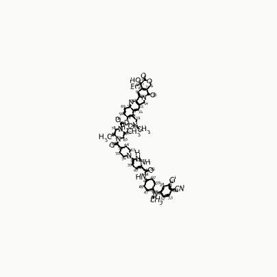 CC[C@@]1(O)C(=O)OCc2c1cc1n(c2=O)Cc2cc3c(CN(C)C)c(OC(=O)N4C[C@H](C)N(C(=O)C5CCN(C6=CC=C(C(=O)NC7CCC(N(C)c8ccc(C#N)c(Cl)c8)CC7)NN6)CC5)C[C@H]4C)ccc3nc2-1